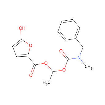 CC(OC(=O)c1ccc(O)o1)OC(=O)N(C)Cc1ccccc1